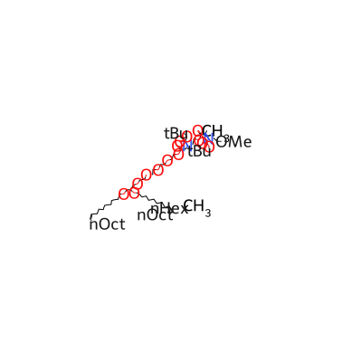 CCCCCCC.CCCCCCCC/C=C\CCCCCCCCOCC(COCCOCCOCCOCCOC(=O)CN(CCOC(=O)C(C)N(CCOC)C(=O)OC(C)(C)C)C(=O)OC(C)(C)C)OCCCCCCCC/C=C\CCCCCCCC